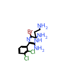 NCCC1(N)NC(N)=C(c2cccc(Cl)c2Cl)N=C1Br